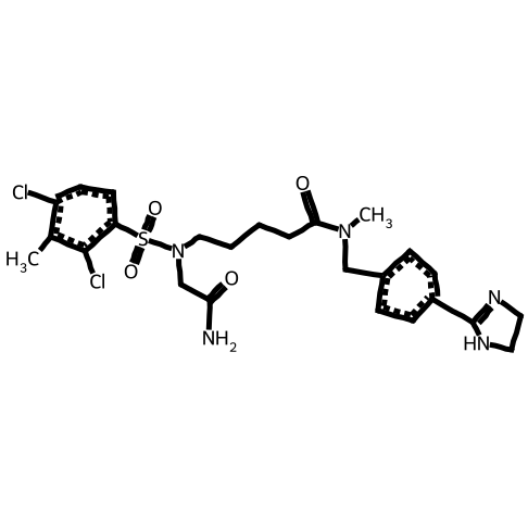 Cc1c(Cl)ccc(S(=O)(=O)N(CCCCC(=O)N(C)Cc2ccc(C3=NCCN3)cc2)CC(N)=O)c1Cl